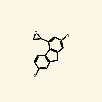 Clc1ccc2c(c1)Cc1cc(Cl)cc(C3CO3)c1-2